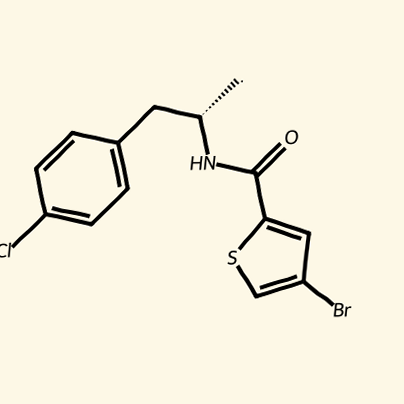 [CH2][C@@H](Cc1ccc(Cl)cc1)NC(=O)c1cc(Br)cs1